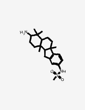 CC12CCC3C(C)(C)C(N)CCC3(C)C1Cc1cc(NS(C)(=O)=O)ccc12